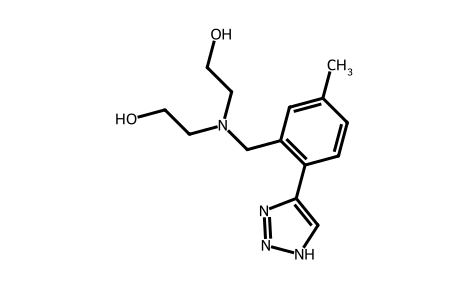 Cc1ccc(-c2c[nH]nn2)c(CN(CCO)CCO)c1